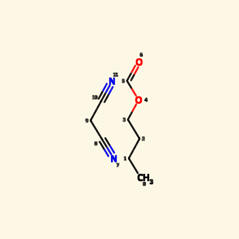 CCCCOC=O.N#CCC#N